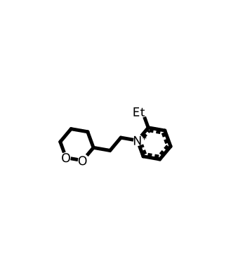 CCc1cccc[n+]1CCC1CCCOO1